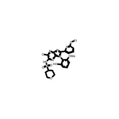 CCOC1=NC(c2nc3nc(Cl)c(NS(=O)(=O)C4CCOCC4)nc3n2-c2c(O)cccc2OC)=C=C=C1